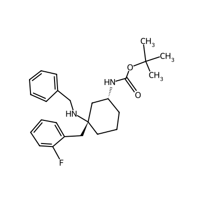 CC(C)(C)OC(=O)N[C@@H]1CCC[C@](Cc2ccccc2F)(NCc2ccccc2)C1